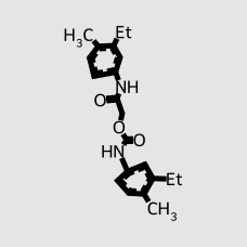 CCc1cc(NC(=O)COC(=O)Nc2ccc(C)c(CC)c2)ccc1C